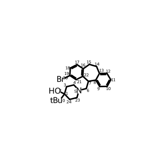 CC(C)(C)C1(O)CCN(CC2c3ccccc3CCc3ccc(Br)cc32)CC1